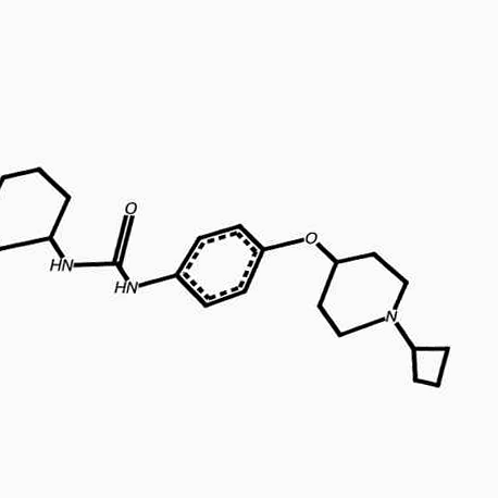 O=C(Nc1ccc(OC2CCN(C3CCC3)CC2)cc1)NC1CCCCC1